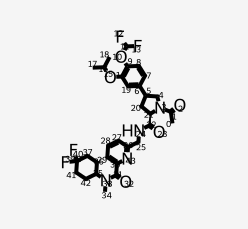 CC(=O)N1CC(c2ccc(OC(F)F)c(OC(C)C)c2)C[C@@H]1C(=O)NCc1cccc(C(=O)N(C)C2CCC(F)(F)CC2)n1